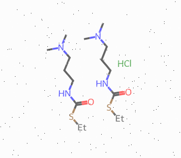 CCSC(=O)NCCCN(C)C.CCSC(=O)NCCCN(C)C.Cl